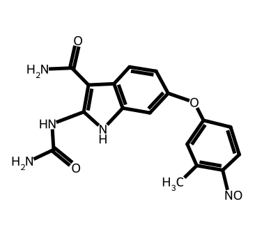 Cc1cc(Oc2ccc3c(C(N)=O)c(NC(N)=O)[nH]c3c2)ccc1N=O